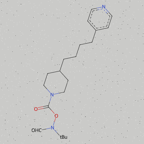 CC(C)(C)N(C=O)OC(=O)N1CCC(CCCCc2ccncc2)CC1